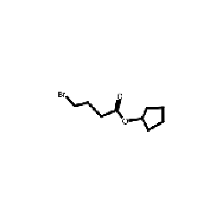 O=C(CCCBr)OC1CCCC1